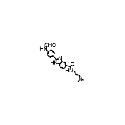 CN(C)CCCNC(=O)c1ccc2[nH]c(-c3ccc(NC=O)cc3)nc2c1